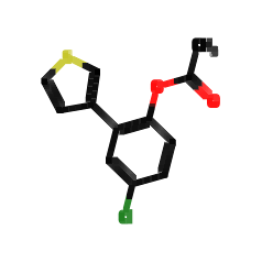 CC(=O)Oc1ccc(Cl)cc1-c1ccsc1